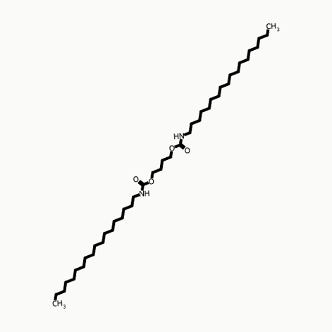 CCCCCCCCCCCCCCCCCCNC(=O)OCCCCOC(=O)NCCCCCCCCCCCCCCCCCC